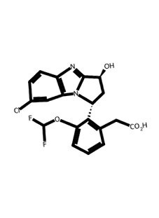 O=C(O)Cc1cccc(OC(F)F)c1[C@H]1C[C@H](O)c2nc3ccc(Cl)cc3n21